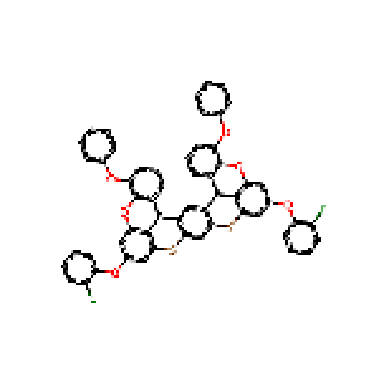 Fc1ccccc1Oc1cc2c3c(c1)Sc1cc4c(cc1B3c1cccc(Oc3ccccc3)c1O2)B1c2cccc(Oc3ccccc3)c2Oc2cc(Oc3ccccc3F)cc(c21)S4